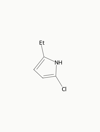 CCc1ccc(Cl)[nH]1